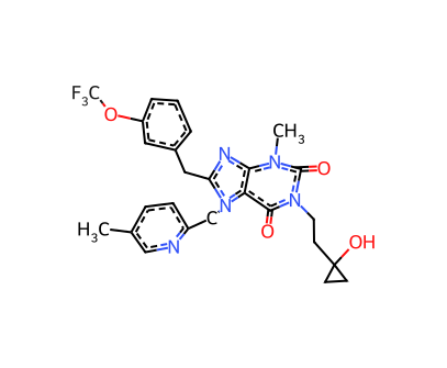 Cc1ccc(Cn2c(Cc3cccc(OC(F)(F)F)c3)nc3c2c(=O)n(CCC2(O)CC2)c(=O)n3C)nc1